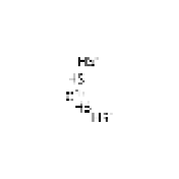 [C+4].[SH-].[SH-].[SH-].[SH-]